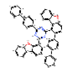 C1=CC(c2ccc(-c3ccc4oc5ccccc5c4c3-c3nc(-c4ccc(-c5ccccc5)cc4)nc(-c4cccc5c4oc4ccccc45)n3)cc2)=CCC1